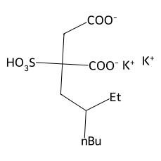 CCCCC(CC)CC(CC(=O)[O-])(C(=O)[O-])S(=O)(=O)O.[K+].[K+]